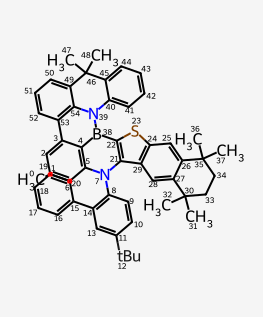 Cc1cc2c3c(c1)N(c1ccc(C(C)(C)C)cc1-c1ccccc1)c1c(sc4cc5c(cc14)C(C)(C)CCC5(C)C)B3N1c3ccccc3C(C)(C)c3cccc-2c31